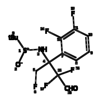 CC(C)(C)[S+]([O-])NC(CF)(c1cccc(F)c1F)C(F)(F)C=O